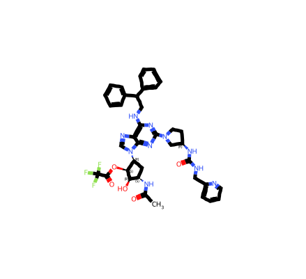 CC(=O)N[C@H]1C[C@@H](n2cnc3c(NCC(c4ccccc4)c4ccccc4)nc(N4CC[C@@H](NC(=O)NCc5ccccn5)C4)nc32)[C@H](OC(=O)C(F)(F)F)[C@@H]1O